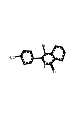 Cc1ccc(-c2[nH]c(=O)c3ccccc3c2Br)cc1